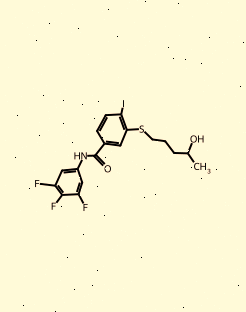 CC(O)CCCSc1cc(C(=O)Nc2cc(F)c(F)c(F)c2)ccc1I